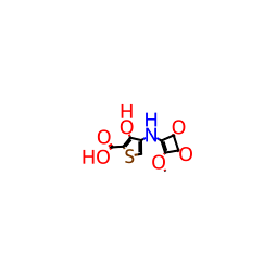 COc1c(Nc2csc(C(=O)O)c2O)c(=O)c1=O